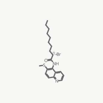 CCCCCCCC[C@H](Br)C(=O)Nc1c(SC)ccc2ncccc12